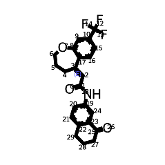 O=C(/C=C1\CCCOc2cc(C(F)(F)F)ccc21)Nc1ccc2c(c1)C(=O)CCC2